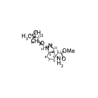 COC(=O)C[C@@]1(N)CCCc2c1cnn2COCC[Si](C)(C)C